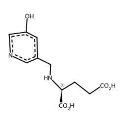 O=C(O)CC[C@H](NCc1cncc(O)c1)C(=O)O